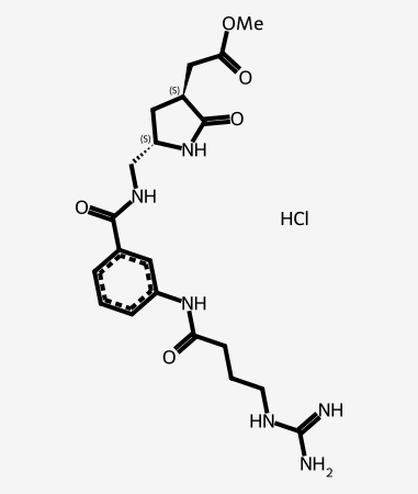 COC(=O)C[C@@H]1C[C@@H](CNC(=O)c2cccc(NC(=O)CCCNC(=N)N)c2)NC1=O.Cl